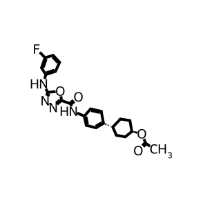 CC(=O)O[C@H]1CC[C@H](c2ccc(NC(=O)c3nnc(Nc4cccc(F)c4)o3)cc2)CC1